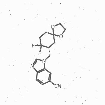 N#Cc1ccc2ncn(C[C@H]3CC4(CCC3(F)F)OCCO4)c2c1